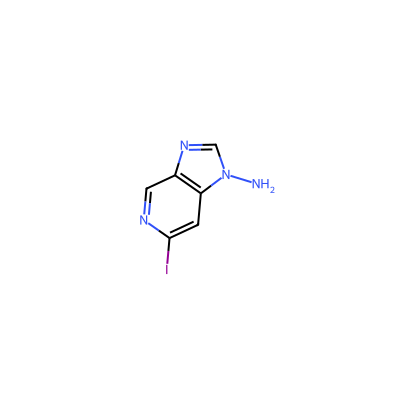 Nn1cnc2cnc(I)cc21